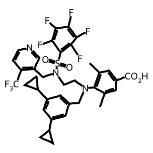 Cc1cc(C(=O)O)cc(C)c1N(CCN(Cc1cnccc1C(F)(F)F)S(=O)(=O)c1c(F)c(F)c(F)c(F)c1F)Cc1cc(C2CC2)cc(C2CC2)c1